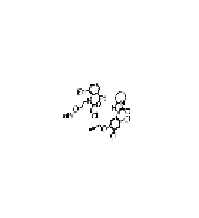 C#CCOc1cc(-n2nc3n(c2=O)CCCC3)c(Cl)cc1Cl.CCCOCCN(C(=O)CCl)c1c(CC)cccc1CC